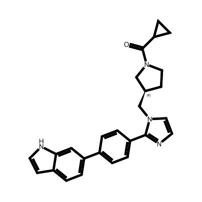 O=C(C1CC1)N1CC[C@@H](Cn2ccnc2-c2ccc(-c3ccc4cc[nH]c4c3)cc2)C1